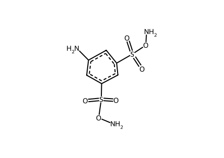 NOS(=O)(=O)c1cc(N)cc(S(=O)(=O)ON)c1